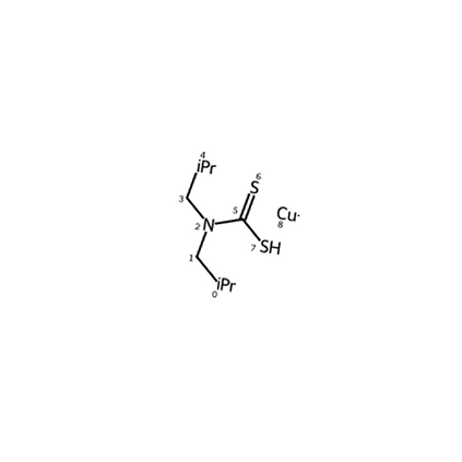 CC(C)CN(CC(C)C)C(=S)S.[Cu]